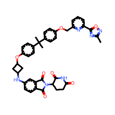 Cc1noc(-c2cccc(COc3ccc(C(C)(C)c4ccc(OC5CC(Nc6ccc7c(c6)C(=O)N(C6CCC(=O)NC6=O)C7=O)C5)cc4)cc3)n2)n1